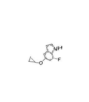 Fc1cc(OC2CC2)cc2cc[nH]c12